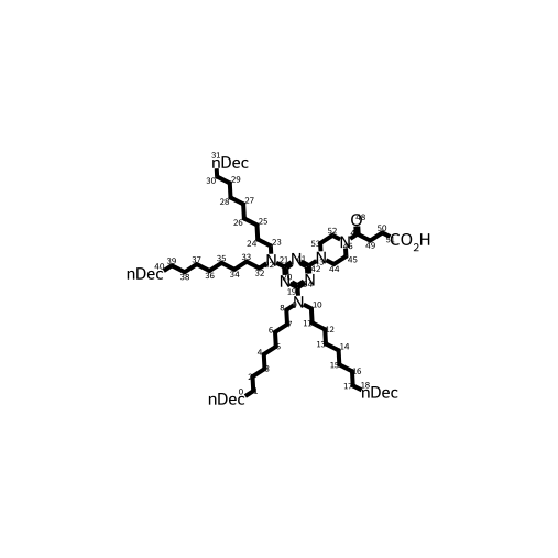 CCCCCCCCCCCCCCCCCCN(CCCCCCCCCCCCCCCCCC)c1nc(N(CCCCCCCCCCCCCCCCCC)CCCCCCCCCCCCCCCCCC)nc(N2CCN(C(=O)CCC(=O)O)CC2)n1